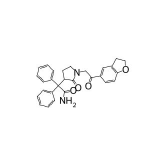 NC(=O)C(c1ccccc1)(c1ccccc1)C1CCN(CC(=O)c2ccc3c(c2)CCO3)C1=O